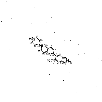 Cn1cc2cc(-c3ccc4nc(C5CCNCC5)ccc4n3)c(C#N)cc2n1